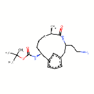 C[C@@H]1CCC[C@H](NC(=O)OC(C)(C)C)c2cccc(c2)CC(CCN)NC1=O